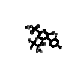 C[C@H](Nc1nc(S(C)(=O)=O)nc(Cl)c1-c1ccc(F)cc1F)C(F)(F)F